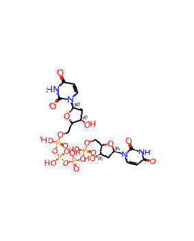 O=c1ccn([C@H]2C[C@@H](O)C(COP(=O)(O)OP(=O)(O)OP(=O)(O)OP(=O)(O)OCC3O[C@@H](n4ccc(=O)[nH]c4=O)C[C@H]3O)O2)c(=O)[nH]1